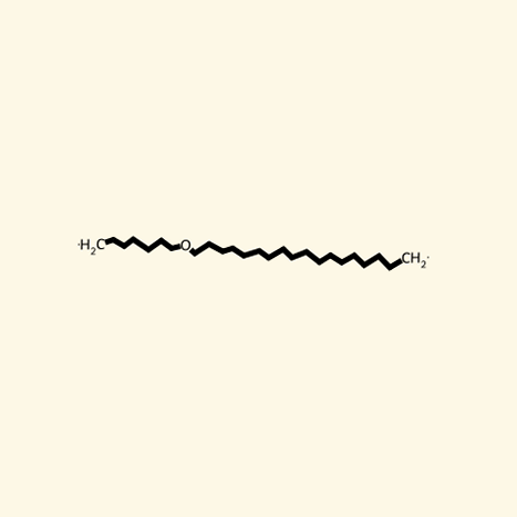 [CH2]CCCCCCCCCCCCCCCCCOCCCCCC[CH2]